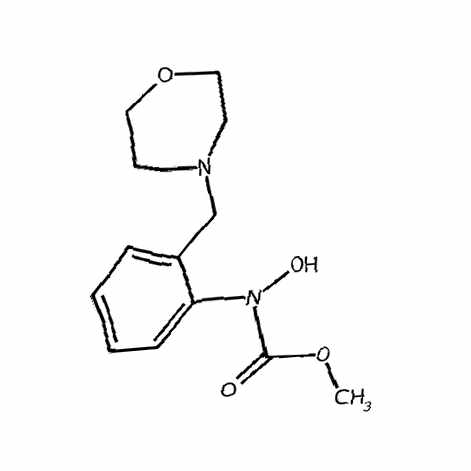 COC(=O)N(O)c1ccccc1CN1CCOCC1